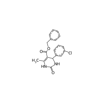 CC1=C(C(=O)OCc2ccccc2)C(c2cccc(Cl)c2)NC(=O)N1